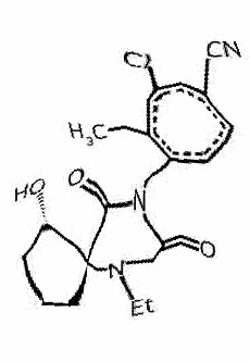 CCN1C(=O)N(c2ccc(C#N)c(Cl)c2C)C(=O)[C@]12CCC[C@@H]2O